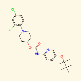 CC(C)(C)[Si](C)(C)Oc1ccc(NC(=O)OC2CCN(c3ccc(Cl)cc3Cl)CC2)nc1